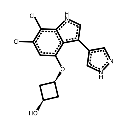 O[C@H]1C[C@@H](Oc2cc(Cl)c(Cl)c3[nH]cc(-c4cn[nH]c4)c23)C1